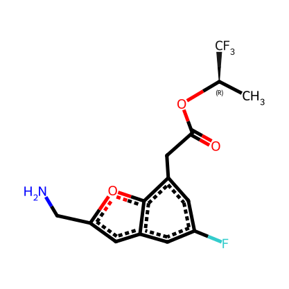 C[C@@H](OC(=O)Cc1cc(F)cc2cc(CN)oc12)C(F)(F)F